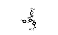 CC(C)CC1(O)CCN(C(=O)Nc2cc(Oc3ccc(F)cc3)cc(Oc3ccc(C(=O)C(=O)O)cc3)c2)CC1